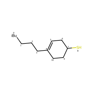 CCC(C)CCCC1=CCC(S)CC1